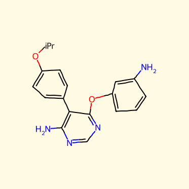 CC(C)Oc1ccc(-c2c(N)ncnc2Oc2cccc(N)c2)cc1